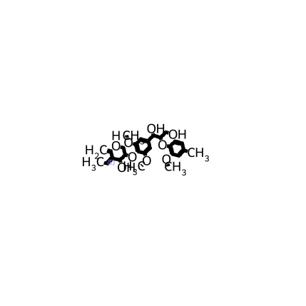 C=C/C(=C\C)C(O)C(CO)Oc1c(OC)cc(C(O)C(CO)Oc2ccc(C)cc2OC)cc1OC